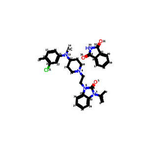 C=C(C)n1c(=O)n(CCN2CCC(N(C(C)=O)c3ccc(C)c(Cl)c3)CC2)c2ccccc21.O=C1NC(=O)c2ccccc21